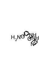 NCOc1cccc(NC(=O)Nc2cnccn2)c1